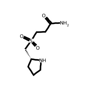 NC(=O)CCS(=O)(=O)C[C@H]1CCCN1